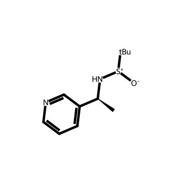 C[C@H](N[S+]([O-])C(C)(C)C)c1cccnc1